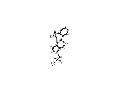 CCS(=O)(=O)c1cccnc1-c1cc2ccn(CC(F)(F)C(F)(F)F)c2cn1